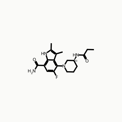 CCC(=O)N[C@H]1CCCN(c2c(F)cc(C(N)=O)c3[nH]c(C)c(C)c23)C1